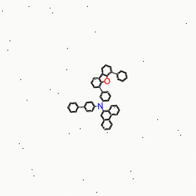 c1ccc(-c2ccc(N(c3cccc(-c4cccc5c4oc4c(-c6ccccc6)cccc45)c3)c3cc4ccccc4c4ccccc34)cc2)cc1